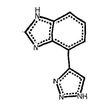 [c]1nc2c(-c3c[nH]nn3)cccc2[nH]1